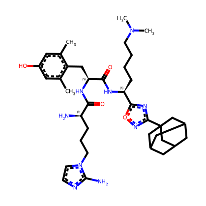 Cc1cc(O)cc(C)c1C[C@H](NC(=O)[C@H](N)CCCn1ccnc1N)C(=O)N[C@@H](CCCCN(C)C)c1nc(C23CC4CC(CC(C4)C2)C3)no1